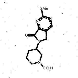 CSc1ncc2c(n1)C(=O)N(C1CCCN(C(=O)O)C1)C2